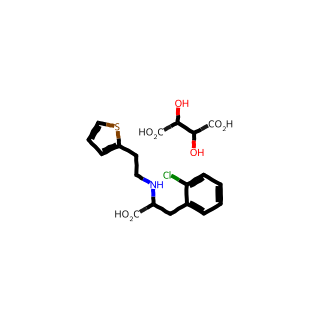 O=C(O)C(Cc1ccccc1Cl)NCCc1cccs1.O=C(O)C(O)C(O)C(=O)O